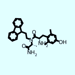 Cc1cc(O)cc(C)c1C[C@H](N)C(=O)N(CCC1c2ccccc2-c2ccccc21)[C@H](C)C(N)=O